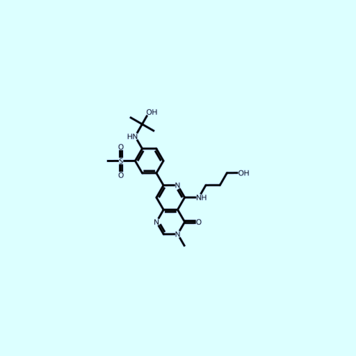 Cn1cnc2cc(-c3ccc(NC(C)(C)O)c(S(C)(=O)=O)c3)nc(NCCCO)c2c1=O